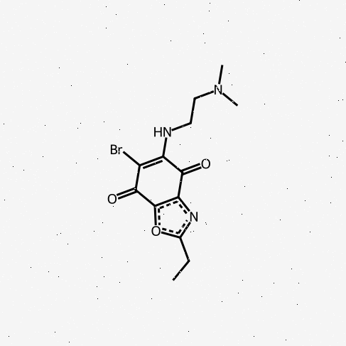 CCc1nc2c(o1)C(=O)C(Br)=C(NCCN(C)C)C2=O